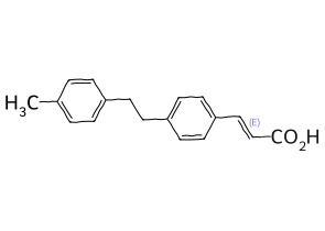 Cc1ccc(CCc2ccc(/C=C/C(=O)O)cc2)cc1